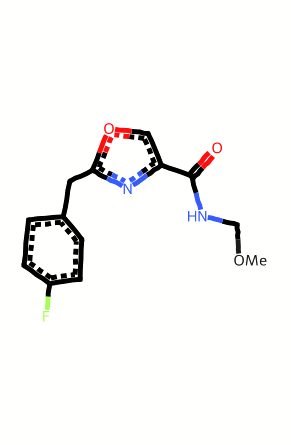 COCNC(=O)c1coc(Cc2ccc(F)cc2)n1